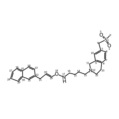 CS(=O)(=O)Cc1ccc2c(c1)CN(CCCCNOC=CCc1ccc3ccccc3c1)CC2